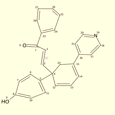 O=C(/C=C/C1(c2ccc(O)cc2)C=CC=C(c2ccncc2)C1)c1ccccc1